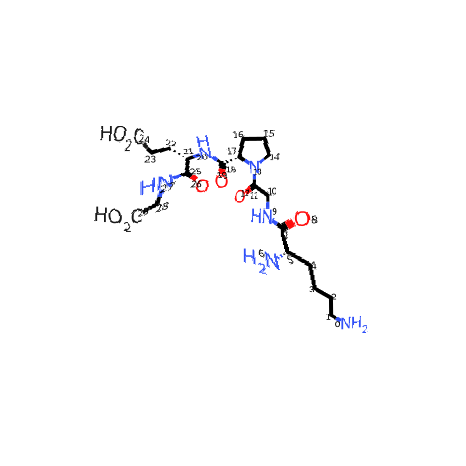 NCCCC[C@H](N)C(=O)NCC(=O)N1CCC[C@H]1C(=O)N[C@@H](CCC(=O)O)C(=O)NCC(=O)O